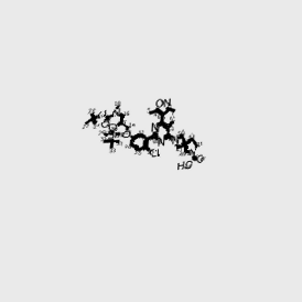 Cc1noc(C)c1-c1nc(-c2cc(OC[C@H](CN(C)C(=O)OC(C)(C)C)O[Si](C)(C)C(C)(C)C)ccc2Cl)nc(N2CC3(CCN(C(=O)O)C3)C2)c1C